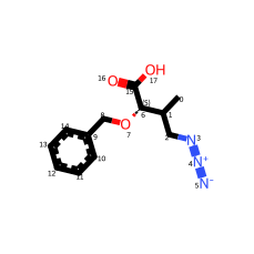 CC(CN=[N+]=[N-])[C@H](OCc1ccccc1)C(=O)O